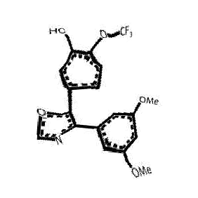 COc1cc(OC)cc(-c2ncoc2-c2ccc(OC(F)(F)F)c(O)c2)c1